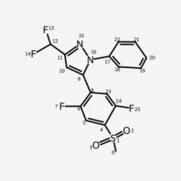 CS(=O)(=O)c1cc(F)c(-c2cc(C(F)F)nn2-c2ccccc2)cc1F